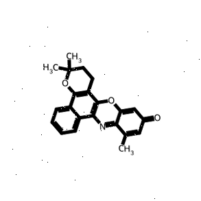 Cc1cc(=O)cc2oc3c4c(c5ccccc5c3nc1-2)OC(C)(C)CC4